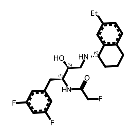 CCc1ccc2c(c1)[C@@H](NC[C@H](O)[C@H](Cc1cc(F)cc(F)c1)NC(=O)CF)CCC2